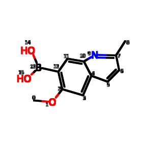 COc1cc2ccc(C)nc2cc1B(O)O